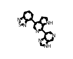 c1cc(-c2cnc(-c3cncc4[nH]cnc34)c3[nH]ccc23)c2nsnc2c1